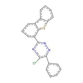 Clc1nc(-c2cccc3c2sc2ccccc23)nnc1-c1ccccc1